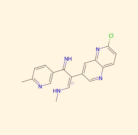 CN/C=C(\C(=N)c1ccc(C)nc1)c1cnc2ccc(Cl)nc2c1